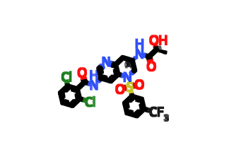 C[C@H](O)C(=O)N[C@@H]1Cc2ncc(NC(=O)c3c(Cl)cccc3Cl)cc2N(S(=O)(=O)c2cccc(C(F)(F)F)c2)C1